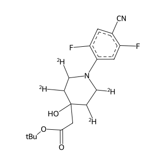 [2H]C1C([2H])C(O)(CC(=O)OC(C)(C)C)C([2H])C([2H])N1c1cc(F)c(C#N)cc1F